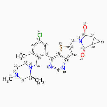 Cc1cc(Cl)cc(-c2ncnc3cc(CN4C(=O)C5CC5C4=O)sc23)c1CN1CCN(C)C[C@@H]1C